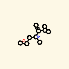 CN1C(C2CCCCC2)CC(C2CC=CC(C3CCCC4C5CCCCC5OC34)C2)CC1C1CC(C2CC3C=CCCC3C3CCC=CC23)CC(C)(C2(C)C=CCCC2)C1